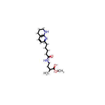 COC(=O)C(C)CCNC(=O)CCCCc1ccc2c(n1)NCCC2